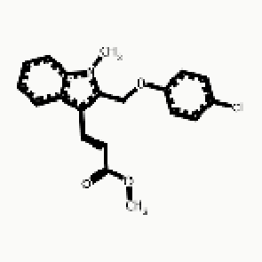 COC(=O)C=Cc1c(COc2ccc(Cl)cc2)n(C)c2ccccc12